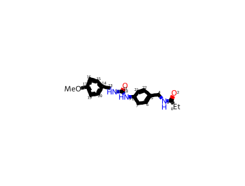 CCC(=O)NCC1=CCC(NC(=O)NCc2ccc(OC)cc2)C=C1